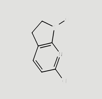 [O-][S+]1CCc2ccc(Cl)nc21